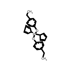 CCc1ccc([O][Zr]([O]c2ccc(CC)cc2)([CH]2C=CC=C2)[CH]2C=CC=C2)cc1